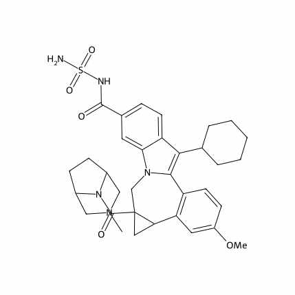 COc1ccc2c(c1)C1CC1(C(=O)N1C3CCC1CN(C)C3)Cn1c-2c(C2CCCCC2)c2ccc(C(=O)NS(N)(=O)=O)cc21